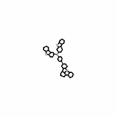 c1ccc2c(c1)oc1cc(N(c3ccc(-c4ccc5c(c4)c4cccc6c7ccccc7n5c64)cc3)c3ccc4oc5ccccc5c4c3)ccc12